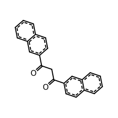 O=C(CC(=O)c1ccc2ccccc2c1)c1ccc2ccccc2c1